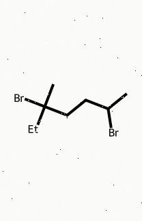 CCC(C)(Br)[CH]CC(C)Br